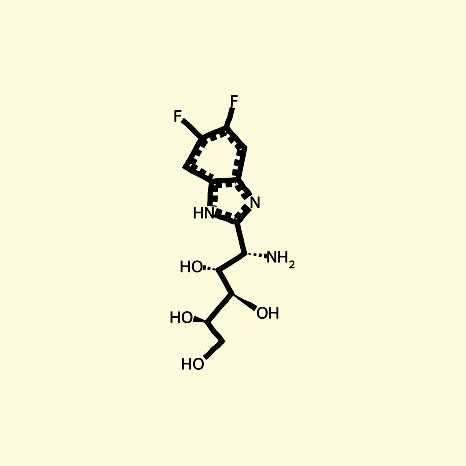 N[C@@H](c1nc2cc(F)c(F)cc2[nH]1)[C@@H](O)[C@@H](O)[C@H](O)CO